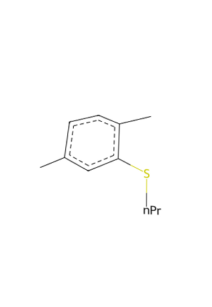 CCCSc1cc(C)ccc1C